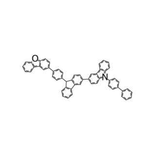 c1ccc(-c2ccc(-n3c4ccccc4c4cc(-c5ccc6c(c5)-c5ccccc5C6c5ccc(-c6ccc7oc8ccccc8c7c6)cc5)ccc43)cc2)cc1